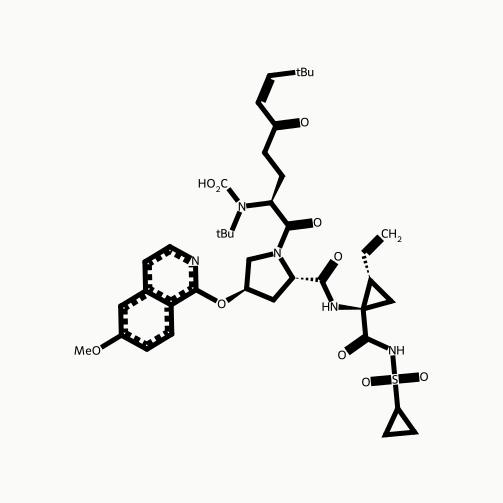 C=C[C@@H]1C[C@]1(NC(=O)[C@@H]1C[C@@H](Oc2nccc3cc(OC)ccc23)CN1C(=O)[C@H](CCC(=O)/C=C\C(C)(C)C)N(C(=O)O)C(C)(C)C)C(=O)NS(=O)(=O)C1CC1